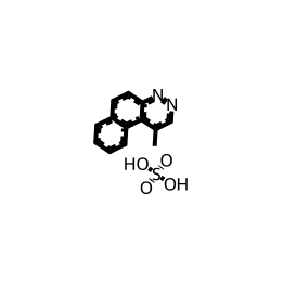 Cc1cnnc2ccc3ccccc3c12.O=S(=O)(O)O